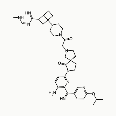 CN/C=N\C(=N)C1CC2(N3CCN(C(=O)CN4CC[C@]5(CCN(c6ccc(N)c(C(=N)c7ccc(OC(C)C)nc7)n6)C5=O)C4)CC3)CCC12